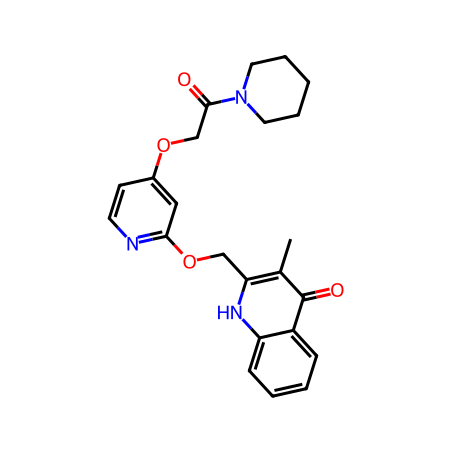 Cc1c(COc2cc(OCC(=O)N3CCCCC3)ccn2)[nH]c2ccccc2c1=O